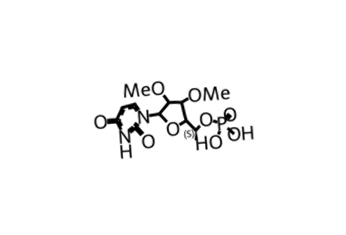 COC1C(OC)C(n2ccc(=O)[nH]c2=O)OC1[C@H](C)OP(=O)(O)O